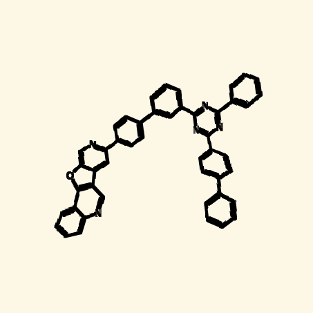 c1ccc(-c2ccc(-c3nc(-c4ccccc4)nc(-c4cccc(-c5ccc(-c6cc7c(cn6)oc6c8ccccc8ncc76)cc5)c4)n3)cc2)cc1